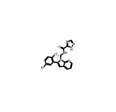 CCc1ccc(C(F)(F)F)c(-c2cc3cccnc3n2CNC(=O)c2ncn[nH]2)c1